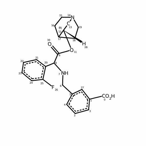 O=C(O)c1cccc(CNC(C(=O)O[C@H]2CN3CCC2CC3)c2ccccc2F)c1